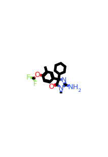 Cc1cc(C2(C3CCCCC3)N=C(N)N(C)C2=O)ccc1OC(F)F